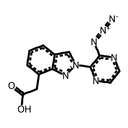 [N-]=[N+]=Nc1nccnc1-n1cc2cccc(CC(=O)O)c2n1